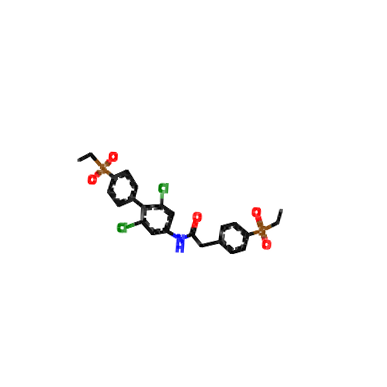 CCS(=O)(=O)c1ccc(CC(=O)Nc2cc(Cl)c(-c3ccc(S(=O)(=O)CC)cc3)c(Cl)c2)cc1